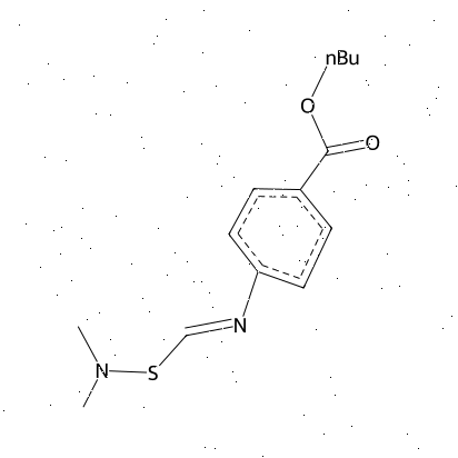 CCCCOC(=O)c1ccc(N=CSN(C)C)cc1